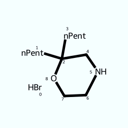 Br.CCCCCC1(CCCCC)CNCCO1